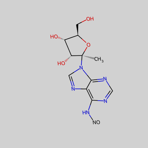 C[C@@]1(n2cnc3c(NN=O)ncnc32)O[C@H](CO)[C@@H](O)[C@H]1O